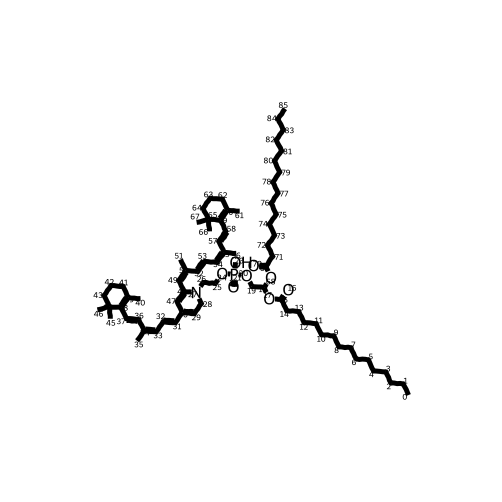 CCCCCCCCCCCCCCCC(=O)OC(COP(=O)(O)OCCN1CC=C(C=CC=C(C)C=CC2=C(C)CCCC2(C)C)C=C1C=C(C)C=CC=C(C)C=CC1=C(C)CCCC1(C)C)OC(=O)CCCCCCCCCCCCCCC